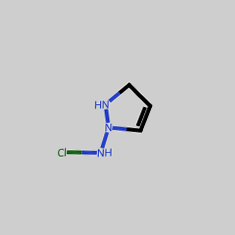 ClNN1C=CCN1